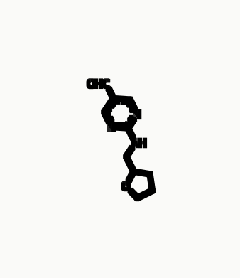 O=Cc1cnc(NCC2CCCO2)nc1